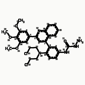 COc1cc(-c2cc(-c3cc(NC(=O)NN)ccc3N(CCCl)CCCl)c3ccccc3n2)cc(OC)c1OC